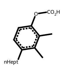 CCCCCCCc1ccc(OC(=O)O)c(C)c1C